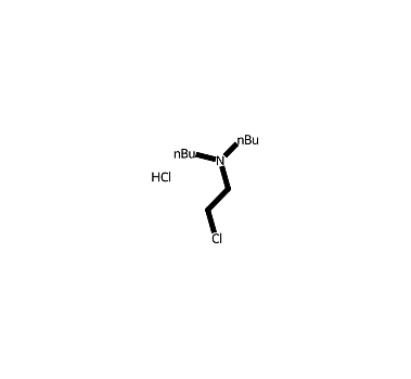 CCCCN(CCCl)CCCC.Cl